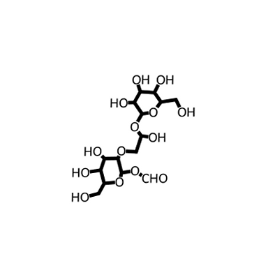 O=COC1OC(CO)C(O)C(O)C1OCC(O)OC1OC(CO)C(O)C(O)C1O